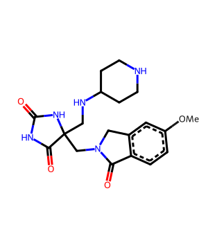 COc1ccc2c(c1)CN(CC1(CNC3CCNCC3)NC(=O)NC1=O)C2=O